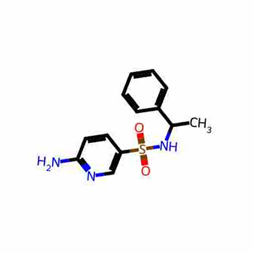 CC(NS(=O)(=O)c1ccc(N)nc1)c1ccccc1